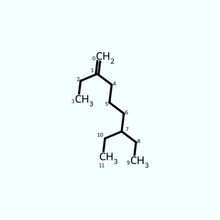 C=C(CC)CCCC(CC)CC